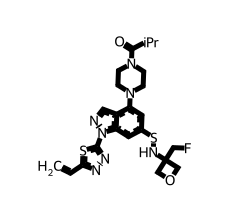 C=Cc1nnc(-n2ncc3c(N4CCN(C(=O)C(C)C)CC4)cc(SNC4(CF)COC4)cc32)s1